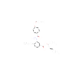 CC=CC(C)OC(=O)c1ccc(SC)c(NC(=O)c2ccc(OCCCCCCCCCC)cc2)c1